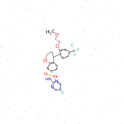 COCCOc1cc(C(F)(F)F)ccc1C1CCOc2cc(S(=O)(=O)Nc3ncc(F)cn3)ccc21